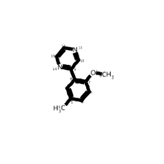 COc1ccc(C)cc1-c1cnccn1